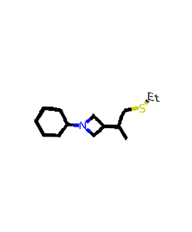 CCSCC(C)C1CN(C2CCCCC2)C1